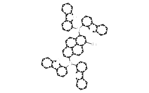 CC(C)c1cc(N(c2cccc3c2oc2ccccc23)c2cccc3c2oc2ccccc23)c2ccc3ccc(N(c4cccc5c4oc4ccccc45)c4cccc5c4oc4ccccc45)c4ccc1c2c34